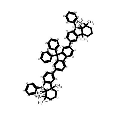 CC1(C)CCCC2(C)c3cc(-c4ccc5c(c4)C(c4ccccc4)(c4ccccc4)c4cc(-c6ccc7c(c6)C6(C)CCCC(C)(C)C6(C)N7c6ccccc6)ccc4-5)ccc3N(c3ccccc3)C12C